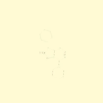 O=c1[nH]c2c(N3CCOCC3)cccc2n1[C@H]1CC[C@@H](C(=O)O)CC1